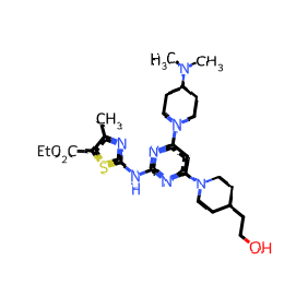 CCOC(=O)c1sc(Nc2nc(N3CCC(CCO)CC3)cc(N3CCC(N(C)C)CC3)n2)nc1C